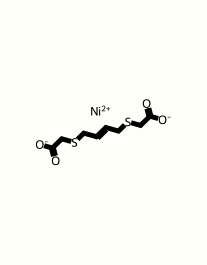 O=C([O-])CSCC=CCSCC(=O)[O-].[Ni+2]